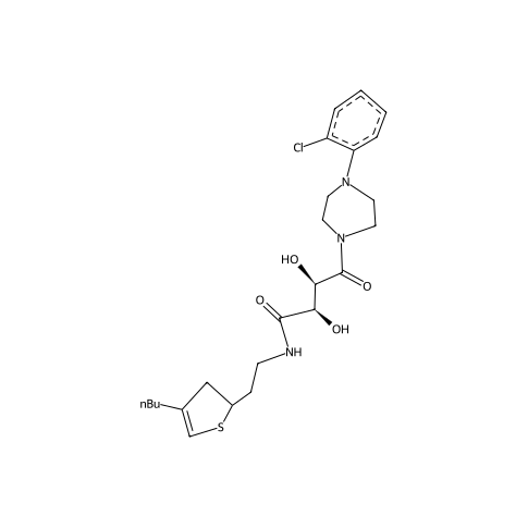 CCCCC1=CSC(CCNC(=O)[C@H](O)[C@@H](O)C(=O)N2CCN(c3ccccc3Cl)CC2)C1